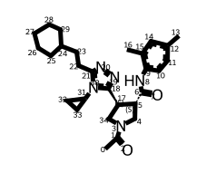 CC(=O)N1C[C@@H](C(=O)Nc2ccc(C)cc2C)[C@H](c2nnc(CCC3CCCCC3)n2C2CC2)C1